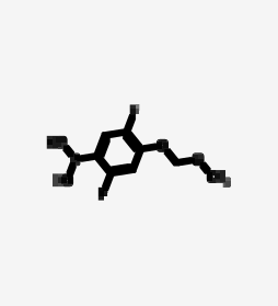 COCOc1cc(F)c(B(O)O)cc1F